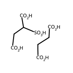 O=C(O)CC(C(=O)O)S(=O)(=O)O.O=C(O)CCC(=O)O